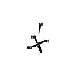 FS.O=P(O)(O)O